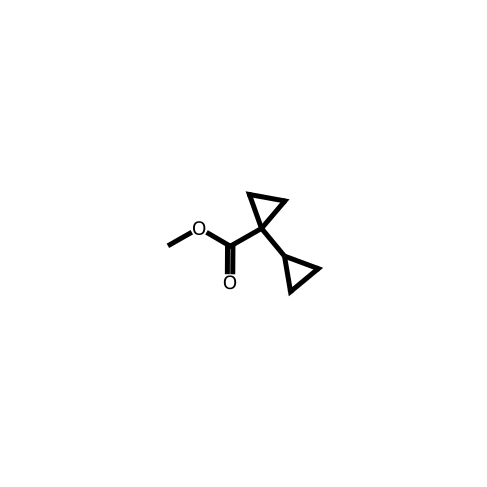 COC(=O)C1(C2CC2)CC1